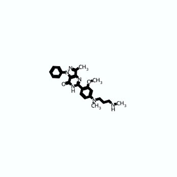 CNCCCN(C)c1ccc(-c2nc3c(C)nn(-c4ccccc4)c3c(=O)[nH]2)c(OC)c1